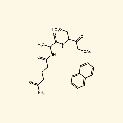 CC(=O)OCC(=O)C(CC(=O)O)NC(=O)C(C)NC(=O)CCCC(N)=O.c1ccc2ccccc2c1